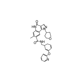 Cc1cc2[nH]c(=O)c3cnn(C4CCOCC4)c3c2cc1C(=O)NCC1C=C(Oc2ccccn2)C=CC1